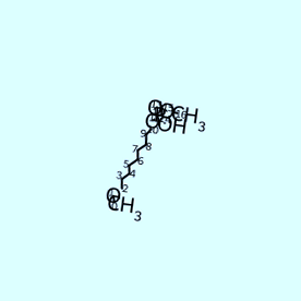 COCCCCCCCCCOP(=O)(O)OC